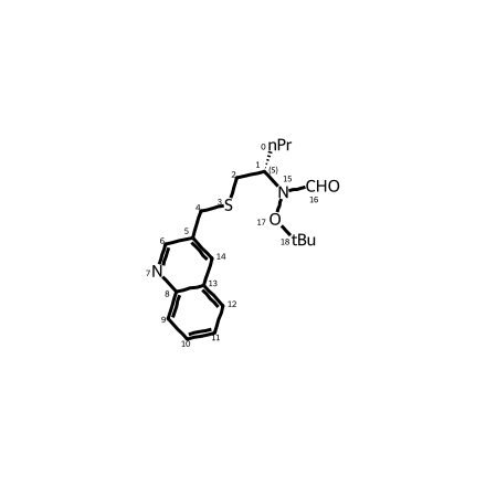 CCC[C@@H](CSCc1cnc2ccccc2c1)N(C=O)OC(C)(C)C